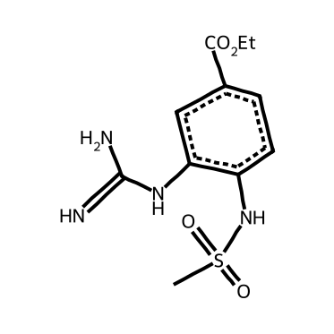 CCOC(=O)c1ccc(NS(C)(=O)=O)c(NC(=N)N)c1